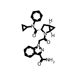 NC(=O)c1nn(CC(=O)N2[C@@H]3C[C@@H]3C[C@H]2C(=O)N(c2ccccc2)C2CC2)c2ccccc12